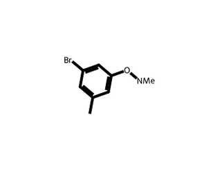 CNOc1cc(C)cc(Br)c1